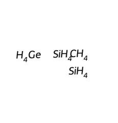 C.[GeH4].[SiH4].[SiH4]